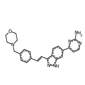 Nc1nccc(-c2ccc3c(C=Cc4ccc(CN5CCOCC5)cc4)n[nH]c3c2)n1